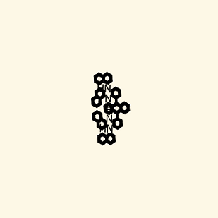 c1cc(Nc2cccc3ccccc23)c(Nc2cccc3ccccc23)c(-c2c3ccccc3c(-c3cccc(Nc4cccc5ccccc45)c3Nc3cccc4ccccc34)c3ccccc23)c1